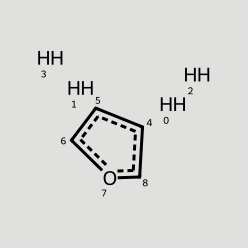 [HH].[HH].[HH].[HH].c1ccoc1